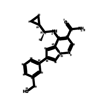 C[C@@H](Nc1c(C(N)=O)cnn2cc(-c3cccc(CO)c3)cc12)C1CC1